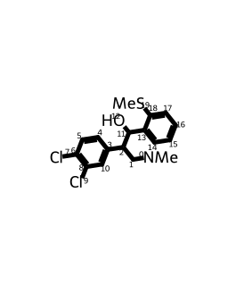 CNCC(c1ccc(Cl)c(Cl)c1)C(O)c1ccccc1SC